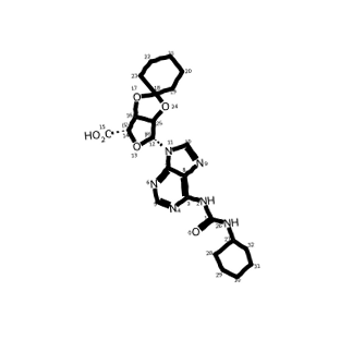 O=C(Nc1ncnc2c1ncn2[C@@H]1O[C@H](C(=O)O)C2OC3(CCCCC3)OC21)NC1CCCCC1